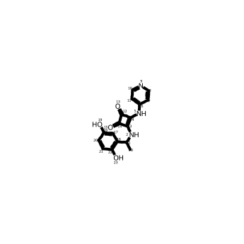 CC(Nc1c(Nc2ccncc2)c(=O)c1=O)c1cc(O)ccc1O